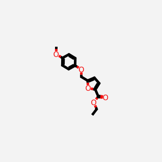 CCOC(=O)c1ccc(COc2ccc(OC)cc2)o1